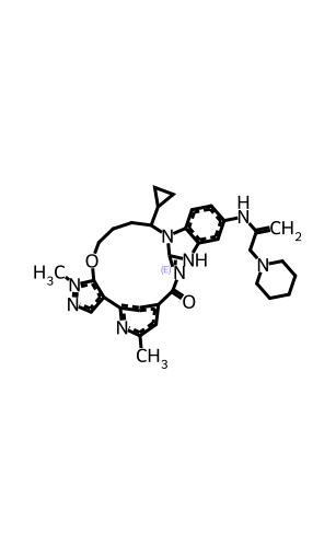 C=C(CN1CCCCC1)Nc1ccc2c(c1)N/C1=N\C(=O)c3cc(C)nc(c3)-c3cnn(C)c3OCCCC(C3CC3)N12